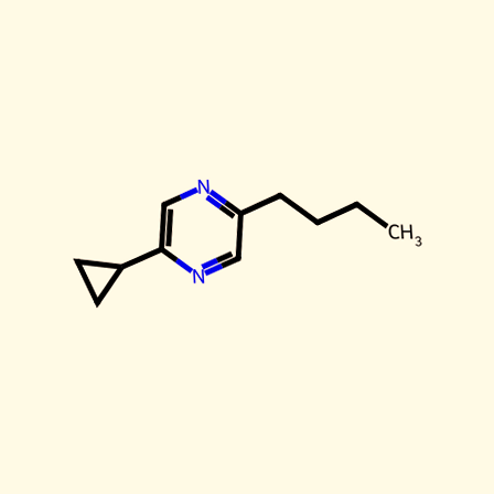 CCCCc1cnc(C2CC2)cn1